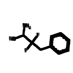 NC(O)C(F)(F)Cc1ccccc1